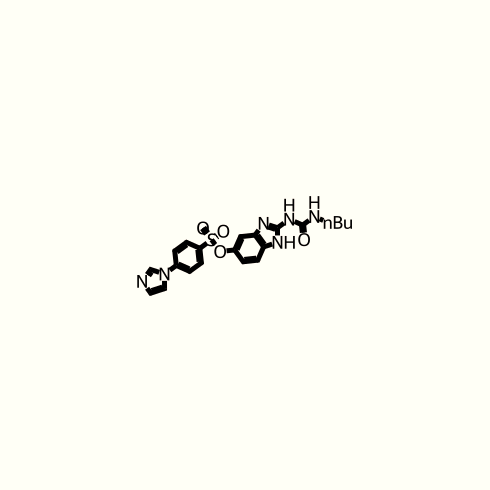 CCCCNC(=O)Nc1nc2cc(OS(=O)(=O)c3ccc(-n4ccnc4)cc3)ccc2[nH]1